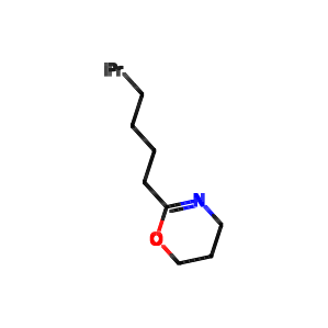 CC(C)CCCCC1=NCCCO1